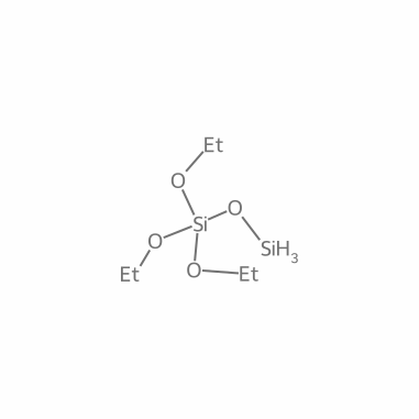 CCO[Si](O[SiH3])(OCC)OCC